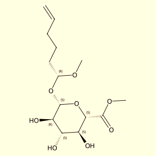 C=CCCC[C@H](OC)O[C@@H]1O[C@H](C(=O)OC)[C@@H](O)[C@H](O)[C@H]1O